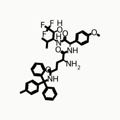 COc1ccc([C@H](NC(=O)[C@@H](N)CCC(=O)NC(c2ccccc2)(c2ccccc2)c2ccc(C)cc2)C(=O)N[C@@H](C(C)C)[C@H](O)C(F)(F)F)cc1